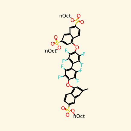 CCCCCCCCOS(=O)(=O)c1ccc2c(Oc3c(F)c(F)c(-c4c(F)c(F)c(Oc5cc(S(=O)(=O)OCCCCCCCC)cc6cc(S(=O)(=O)OCCCCCCCC)ccc56)c(F)c4F)c(F)c3F)cc(C)cc2c1